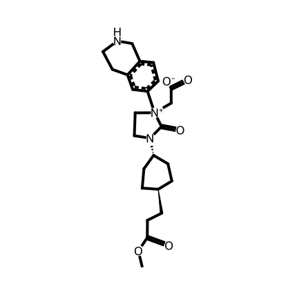 COC(=O)CC[C@H]1CC[C@H](N2CC[N+](CC(=O)[O-])(c3ccc4c(c3)CCNC4)C2=O)CC1